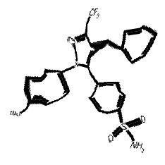 CC(C)(C)c1ccc(-n2nc(C(F)(F)F)c(-c3ccccc3)c2-c2ccc(S(N)(=O)=O)cc2)cc1